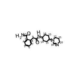 NC(=O)c1ccccc1[CH]C(=O)NC1CCC(N2C=NCCC2)CC1